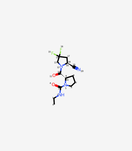 CCNC(=O)N1CCC[C@H]1C(=O)N1CC(F)(F)C[C@H]1C#N